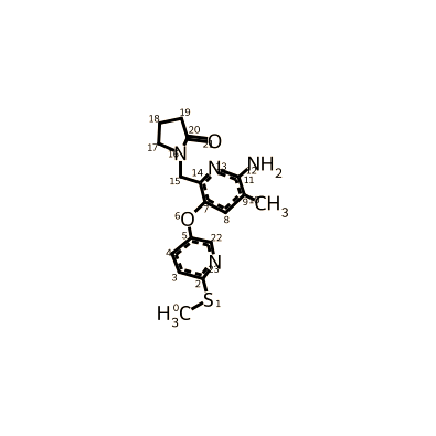 CSc1ccc(Oc2cc(C)c(N)nc2CN2CCCC2=O)cn1